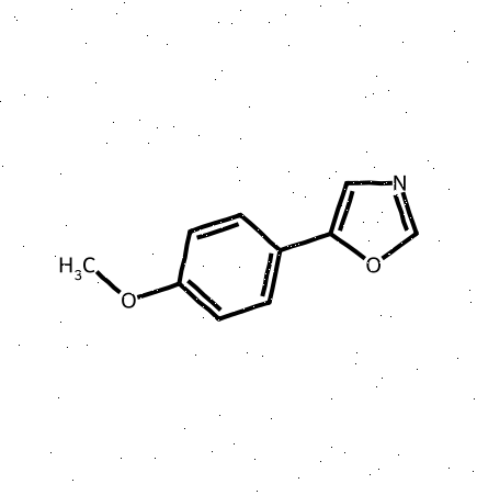 COc1ccc(-c2cnco2)cc1